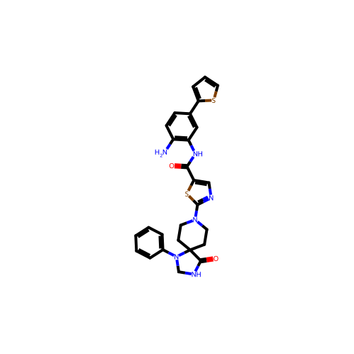 Nc1ccc(-c2cccs2)cc1NC(=O)c1cnc(N2CCC3(CC2)C(=O)NCN3c2ccccc2)s1